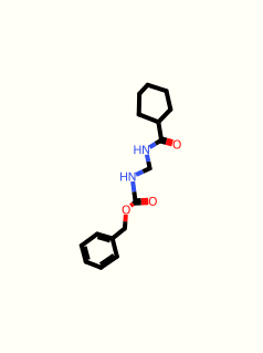 O=C(NCNC(=O)C1CCCCC1)OCc1ccccc1